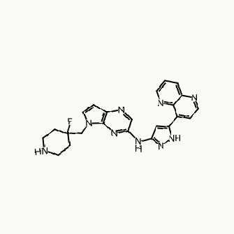 FC1(Cn2ccc3ncc(Nc4cc(-c5ccnc6cccnc56)[nH]n4)nc32)CCNCC1